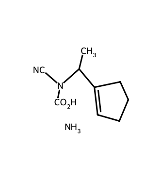 CC(C1=CCCC1)N(C#N)C(=O)O.N